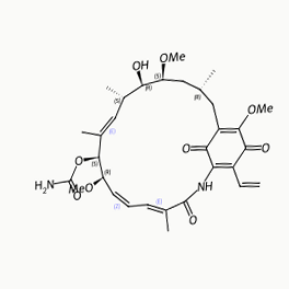 C=CC1=C2NC(=O)/C(C)=C/C=C\[C@@H](OC)[C@@H](OC(N)=O)/C(C)=C/[C@H](C)[C@@H](O)[C@@H](OC)C[C@H](C)CC(=C(OC)C1=O)C2=O